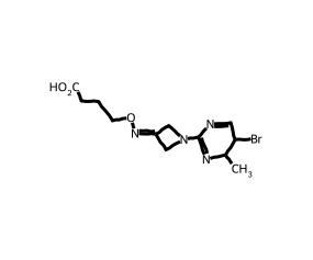 CC1N=C(N2CC(=NOCCCC(=O)O)C2)N=CC1Br